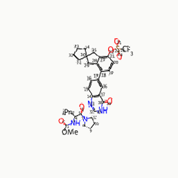 COC(=O)N[C@H](C(=O)N1CCC[C@H]1c1nc2ccc(-c3ccc(OS(=O)(=O)C(F)(F)F)c4c3CC3(CCCC3)C4)cc2c(=O)[nH]1)C(C)C